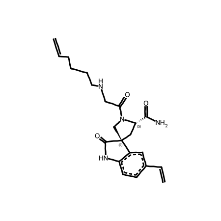 C=CCCCCNCC(=O)N1C[C@]2(C[C@H]1C(N)=O)C(=O)Nc1ccc(C=C)cc12